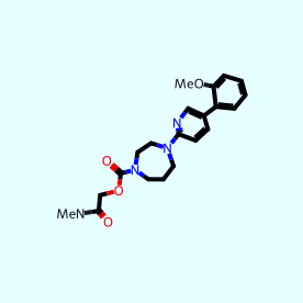 CNC(=O)COC(=O)N1CCCN(c2ccc(-c3ccccc3OC)cn2)CC1